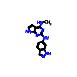 CNc1nc(Nc2ccc3cn[nH]c3c2)nc2[nH]ccc12